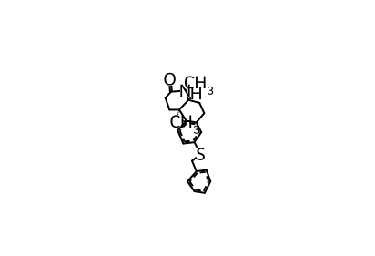 CN1C(=O)CC[C@]2(C)c3ccc(SCc4ccccc4)cc3CC[C@@H]12